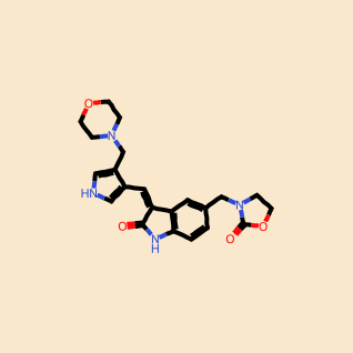 O=C1Nc2ccc(CN3CCOC3=O)cc2/C1=C/c1c[nH]cc1CN1CCOCC1